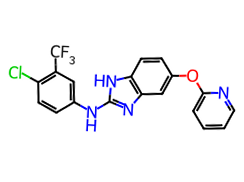 FC(F)(F)c1cc(Nc2nc3cc(Oc4ccccn4)ccc3[nH]2)ccc1Cl